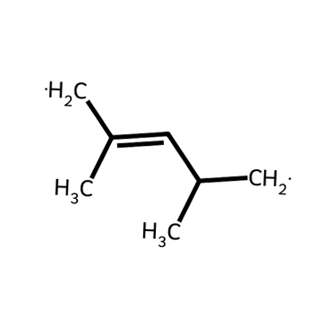 [CH2]/C(C)=C/C([CH2])C